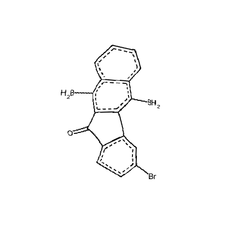 Bc1c2c(c(B)c3ccccc13)-c1cc(Br)ccc1C2=O